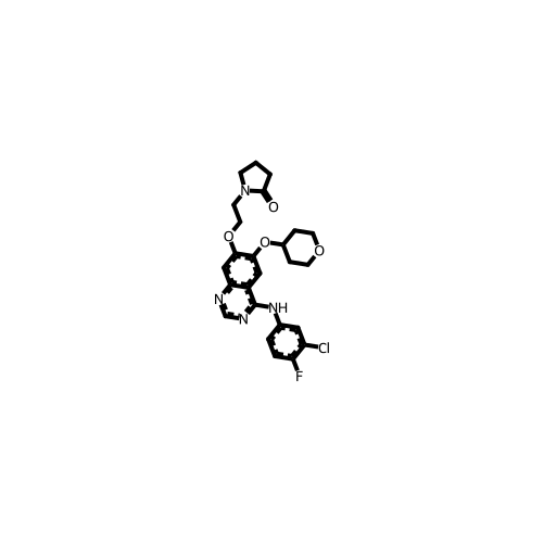 O=C1CCCN1CCOc1cc2ncnc(Nc3ccc(F)c(Cl)c3)c2cc1OC1CCOCC1